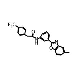 Cc1ccc2oc(-c3cccc(NC(=O)Cc4ccc(C(F)(F)F)cc4)c3)nc2c1